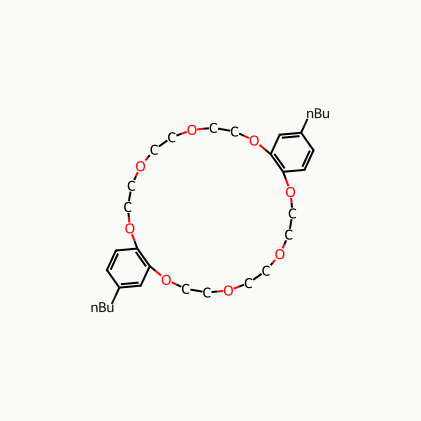 CCCCc1ccc2c(c1)OCCOCCOCCOc1ccc(CCCC)cc1OCCOCCOCCO2